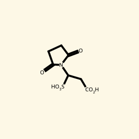 O=C(O)CC(N1C(=O)CCC1=O)S(=O)(=O)O